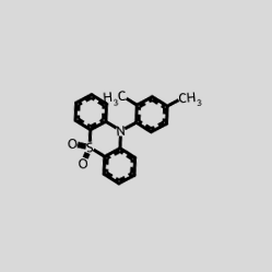 Cc1ccc(N2c3ccccc3S(=O)(=O)c3ccccc32)c(C)c1